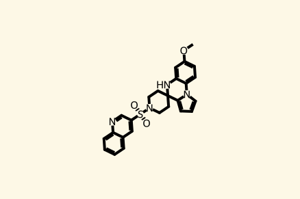 COc1ccc2c(c1)NC1(CCN(S(=O)(=O)c3cnc4ccccc4c3)CC1)c1cccn1-2